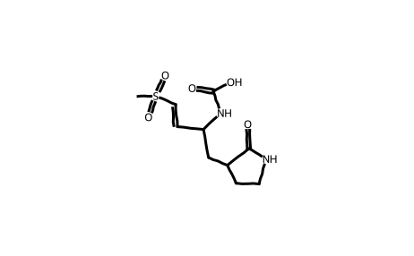 CS(=O)(=O)/C=C/C(CC1CCNC1=O)NC(=O)O